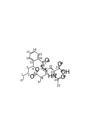 CCCCC(OC(=O)C(C)C)c1ccccc1C(=O)SSC[C@H](NC(C)=O)C(=O)O